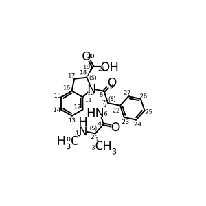 CN[C@@H](C)C(=O)N[C@H](C(=O)N1c2ccccc2C[C@H]1C(=O)O)c1ccccc1